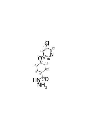 NNC(=O)C1CCC(Oc2cncc(Cl)c2)CC1